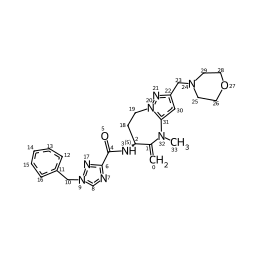 C=C1[C@@H](NC(=O)c2ncn(Cc3ccccc3)n2)CCn2nc(CN3CCOCC3)cc2N1C